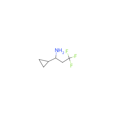 NC(CC(F)(F)F)C1CC1